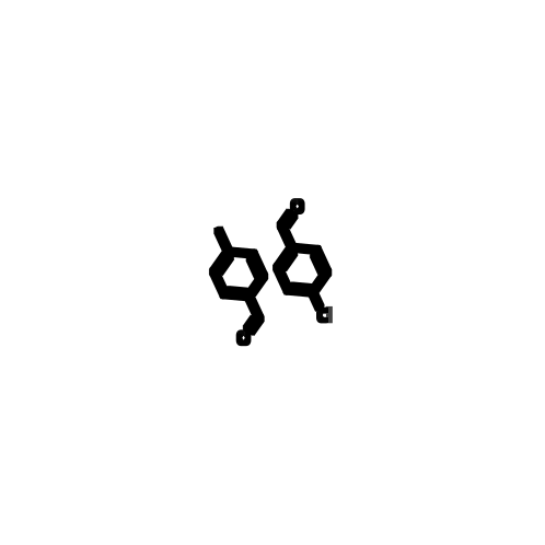 Cc1ccc(C=O)cc1.O=Cc1ccc(Cl)cc1